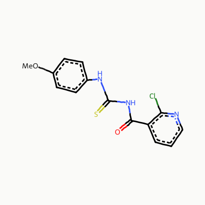 COc1ccc(NC(=S)NC(=O)c2cccnc2Cl)cc1